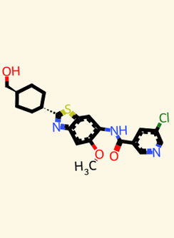 COc1cc2nc([C@H]3CC[C@H](CO)CC3)sc2cc1NC(=O)c1cncc(Cl)c1